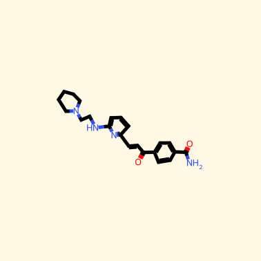 NC(=O)c1ccc(C(=O)C=Cc2cccc(NCCN3CCCCC3)n2)cc1